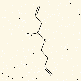 C=CCCS[S+]([O-])CC=C